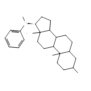 CC1CCC2(C)C(CCC3C2CCC2(C)C3CC[C@@H]2N(C)c2ccccc2)C1